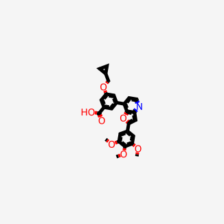 COc1cc(-c2cc3nccc(-c4cc(OCC5CC5)cc(C(=O)O)c4)c3o2)cc(OC)c1OC